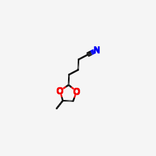 CC1COC(CCCC#N)O1